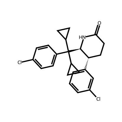 O=C1CC[C@H](c2cccc(Cl)c2)[C@@H](C(c2ccc(Cl)cc2)(C2CC2)C2CC2)N1